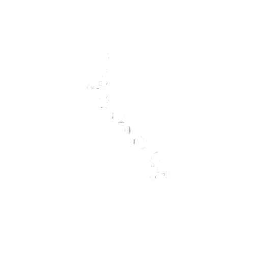 CCCCCCCCOC(=O)c1ccc(-c2ccc(/C=C/c3ccc(-c4ccc(C(=O)OCCCCCCCC)s4)cc3)cc2)s1